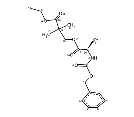 CC(C)[C@@H](NC(=O)OCc1ccccc1)C(=O)OCC(C)(C)C(=O)OCI